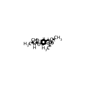 CCOP(=O)(Cc1ccc(OC(=O)NC(C)C)cc1)OCC